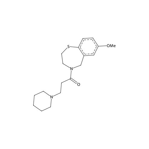 COc1ccc2c(c1)CN(C(=O)CCN1CCCCC1)CCS2